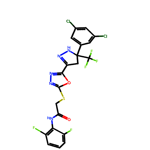 O=C(CSc1nnc(C2=NNC(c3cc(Cl)cc(Cl)c3)(C(F)(F)F)C2)o1)Nc1c(F)cccc1F